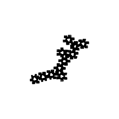 c1ccc(-c2ccc(-c3ccc(-n4c5ccccc5c5cc(-c6ccc7c(c6)c6ccccc6n7-c6cccc(-c7cc(-c8ccccc8)nc(-c8ccccc8)n7)c6)ccc54)cc3)cc2)cc1